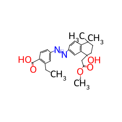 CCOC(=O)CC1(O)CCC(C)(C)c2ccc(/N=N/c3ccc(C(=O)O)c(CC)c3)cc21